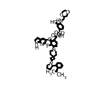 CC(C)c1ccccc1C1CCCN1C1CC2(CCN(c3ccc(C(=O)NS(=O)(=O)c4ccc(NCC5COCCO5)c(O)c4)c(Oc4cnc5[nH]ccc5c4)c3F)CC2)C1